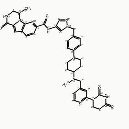 C[C@@H]1CNC(=O)c2cc3ccc(C(=O)Nc4cnn(Cc5ccc(N6CCC(N(C)Cc7ccnc(N8CCC(=O)NC8=O)c7)CC6)cc5)c4)nc3n21